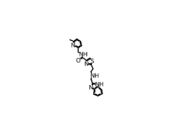 Cc1cccc(CNC(=O)c2csc(CCNCc3nc4ccccc4[nH]3)n2)n1